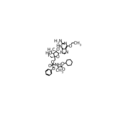 CCOc1nc(N)nc2c1ncn2[C@@H]1O[C@](CF)(COP(=O)(NC(C)C(=O)OC2CCCCC2)Oc2ccccc2)[C@@H](O)[C@@]1(C)O